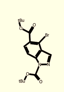 CC(C)(C)OC(=O)c1ccc2c(cnn2C(=O)OC(C)(C)C)c1Br